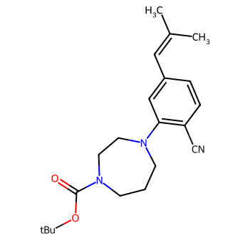 CC(C)=Cc1ccc(C#N)c(N2CCCN(C(=O)OC(C)(C)C)CC2)c1